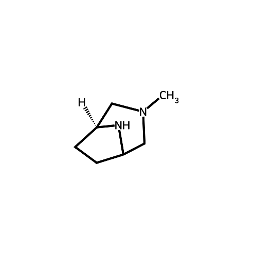 CN1CC2CC[C@@H](C1)N2